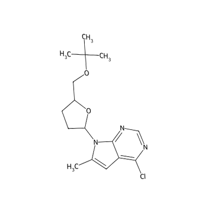 Cc1cc2c(Cl)ncnc2n1C1CCC(COC(C)(C)C)O1